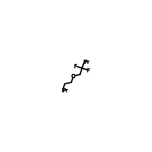 CC(C)CCOCC(F)(F)C(C)C